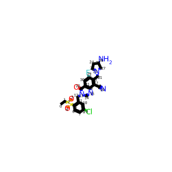 CCS(=O)(=O)c1ccc(Cl)cc1Cn1cnc2c(C#N)c(CN3CC[C@@H](N)C3)c(F)cc2c1=O